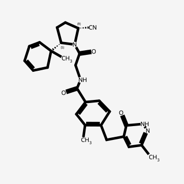 Cc1cc(Cc2ccc(C(=O)NCC(=O)N3[C@H](C4(C)C=CC=CC4)CC[C@@H]3C#N)cc2C)c(=O)[nH]n1